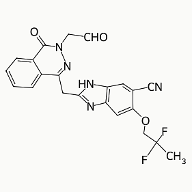 CC(F)(F)COc1cc2nc(Cc3nn(CC=O)c(=O)c4ccccc34)[nH]c2cc1C#N